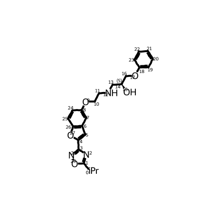 CC(C)c1nc(-c2cc3cc(OCCNC[C@H](O)COc4ccccc4)ccc3o2)no1